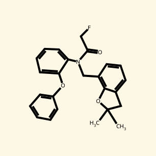 CC1(C)Cc2cccc(CN(C(=O)CF)c3ccccc3Oc3ccccc3)c2O1